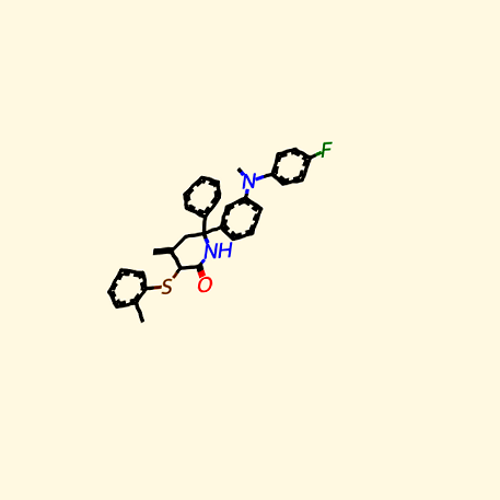 C=C1CC(c2ccccc2)(c2cccc(N(C)c3ccc(F)cc3)c2)NC(=O)C1Sc1ccccc1C